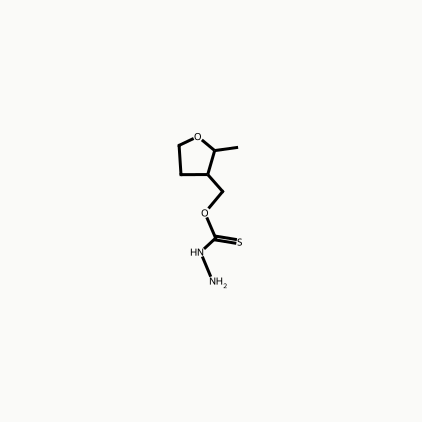 CC1OCCC1COC(=S)NN